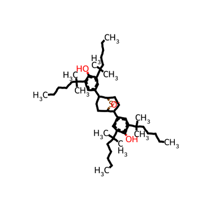 CCCCCC(C)(C)c1cc(C2CCC3C(c4cc(C(C)(C)CCCCC)c(O)c(C(C)(C)CCCCC)c4)CCC2[S+]3[O-])cc(C(C)(C)CCCCC)c1O